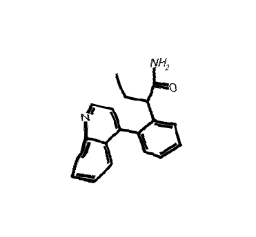 CCC(C(N)=O)c1ccccc1-c1ccnc2ccccc12